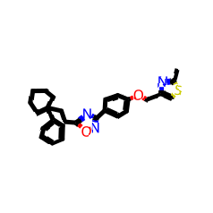 Cc1nc(COc2ccc(-c3noc(CCC4(c5ccccc5)CCCCC4)n3)cc2)cs1